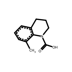 Cc1cccc2c1N(C(=O)O)CCC2